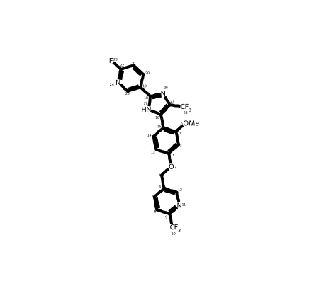 COc1cc(OCc2ccc(C(F)(F)F)nc2)ccc1-c1[nH]c(-c2ccc(F)nc2)nc1C(F)(F)F